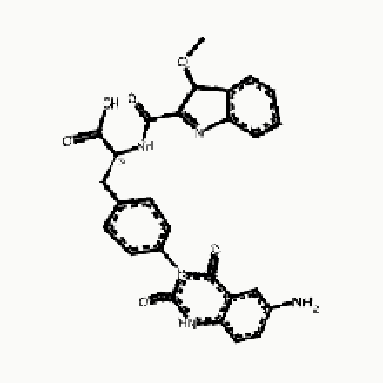 COC1C(C(=O)N[C@@H](Cc2ccc(-n3c(=O)[nH]c4ccc(N)cc4c3=O)cc2)C(=O)O)=Nc2ccccc21